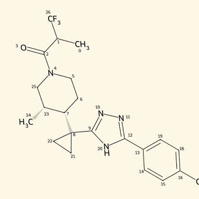 CC(C(=O)N1CC[C@H](C2(c3nnc(-c4ccc(Cl)cc4)[nH]3)CC2)[C@H](C)C1)C(F)(F)F